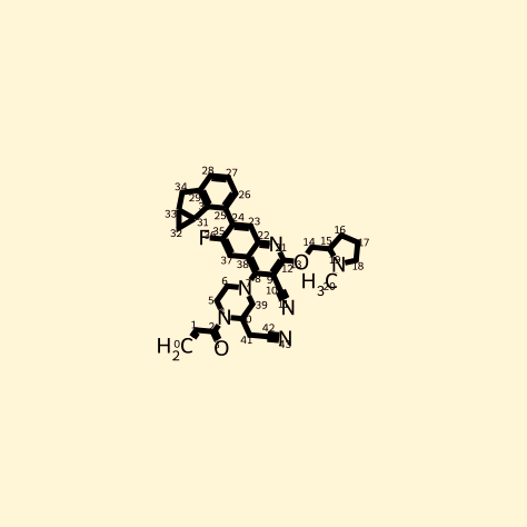 C=CC(=O)N1CCN(c2c(C#N)c(OCC3CCCN3C)nc3cc(-c4cccc5c4C4CC4C5)c(F)cc23)CC1CC#N